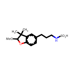 COC1Oc2ccc(CCCNS(=O)(=O)O)cc2C1(C)C